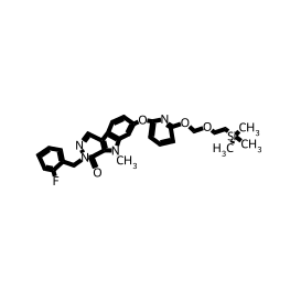 Cn1c2cc(Oc3cccc(OCOCC[Si](C)(C)C)n3)ccc2c2cnn(Cc3ccccc3F)c(=O)c21